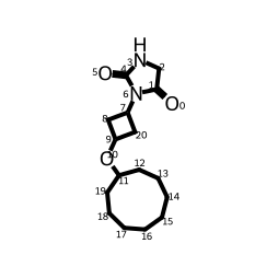 O=C1CNC(=O)N1C1CC(OC2CCCCCCCC2)C1